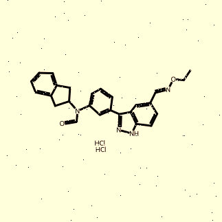 CCON=Cc1ccc2[nH]nc(-c3cccc(N(C=O)C4Cc5ccccc5C4)c3)c2c1.Cl.Cl